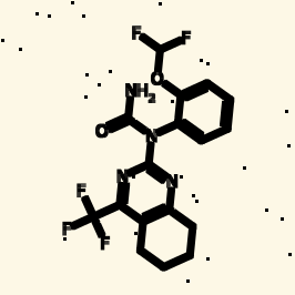 NC(=O)N(c1nc2c(c(C(F)(F)F)n1)CCCC2)c1ccccc1OC(F)F